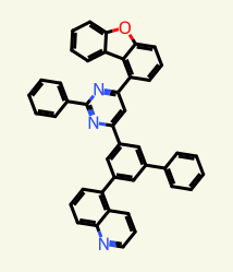 c1ccc(-c2cc(-c3cc(-c4cccc5oc6ccccc6c45)nc(-c4ccccc4)n3)cc(-c3cccc4ncccc34)c2)cc1